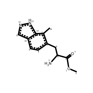 COC(=O)C(N)Cc1ccc2cn[nH]c2c1C